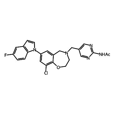 CC(=O)Nc1ncc(CN2CCOc3c(Cl)cc(-n4ccc5cc(F)ccc54)cc3C2)cn1